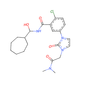 CN(C)C(=O)Cn1ccn(-c2ccc(Cl)c(C(=O)NC(O)C3CCCCCC3)c2)c1=O